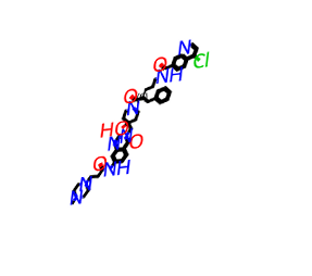 CN1CCN(CCC(=O)Nc2ccc3c(=O)n(CC4(O)CCN(C(=O)[C@@H](CCCNC(=O)c5ccc6c(Cl)ccnc6c5)Cc5ccccc5)CC4)cnc3c2)CC1